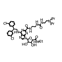 CCNC(=O)C1OC(n2cnc3c(NCC(c4cccc(Cl)c4)c4cccc(Cl)c4)nc(C(=O)NCCNC(=O)NCCN(C(C)C)C(C)C)nc32)C(O)C1O